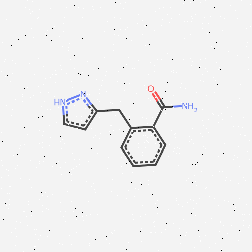 NC(=O)c1ccccc1Cc1cc[nH]n1